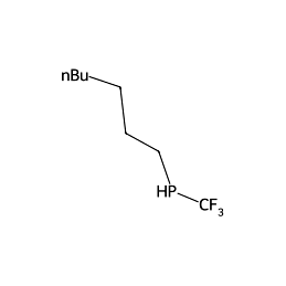 CCCCCCCPC(F)(F)F